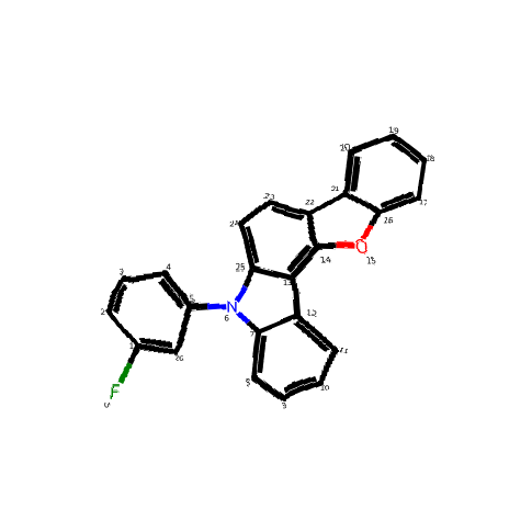 Fc1cccc(-n2c3ccccc3c3c4oc5ccccc5c4ccc32)c1